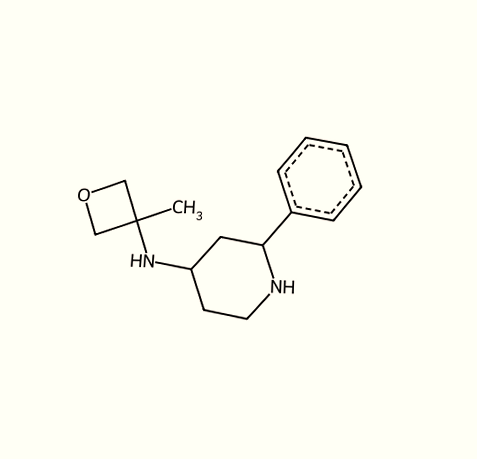 CC1(NC2CCNC(c3ccccc3)C2)COC1